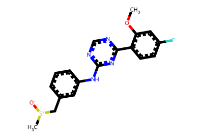 COc1cc(F)ccc1-c1ncnc(Nc2cccc(C[S+](C)[O-])c2)n1